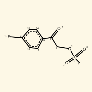 CS(=O)(=O)OCC(=O)c1ccc(F)cc1